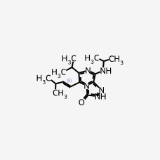 CC(C)/C=C/c1c(C(C)C)nc(NC(C)C)c2n[nH]c(=O)n12